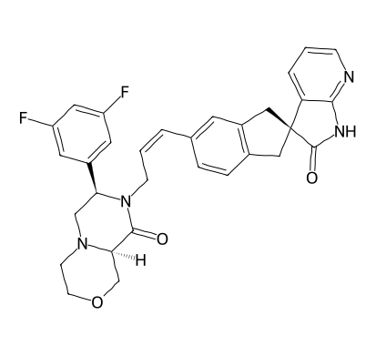 O=C1[C@H]2COCCN2C[C@@H](c2cc(F)cc(F)c2)N1CC=Cc1ccc2c(c1)C[C@]1(C2)C(=O)Nc2ncccc21